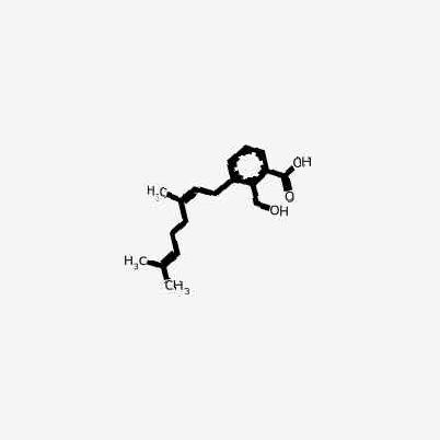 CC(C)=CCCC(C)=CCc1cccc(C(=O)O)c1CO